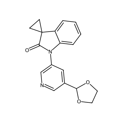 O=C1N(c2cncc(C3OCCO3)c2)c2ccccc2C12CC2